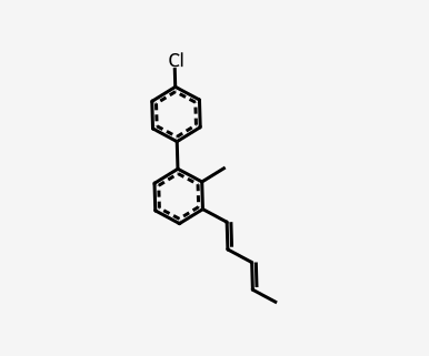 C/C=C/C=C/c1cccc(-c2ccc(Cl)cc2)c1C